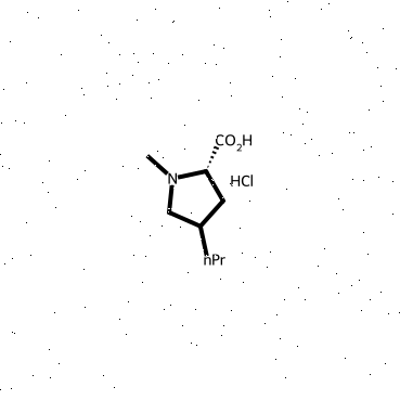 CCCC1C[C@@H](C(=O)O)N(C)C1.Cl